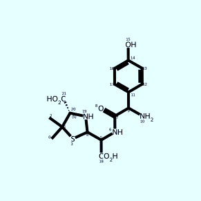 CC1(C)SC(C(NC(=O)C(N)c2ccc(O)cc2)C(=O)O)N[C@H]1C(=O)O